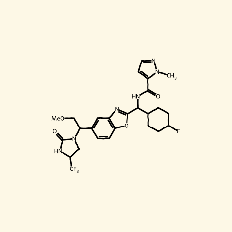 COCC(c1ccc2oc(C(NC(=O)c3ccnn3C)C3CCC(F)CC3)nc2c1)N1CC(C(F)(F)F)NC1=O